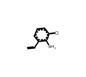 C=Cc1cccc(Cl)c1N